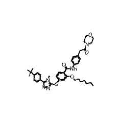 CCCCCCCOc1cc(Sc2nnc(-c3ccc(C(C)(C)C)cc3)n2C)ccc1C(=O)Nc1ccc(CC(=O)N2CCOCC2)cc1